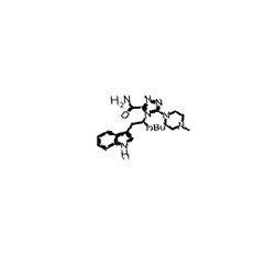 CCCCC(Cc1c[nH]c2ccccc12)n1c(C(N)=O)nnc1N1CCN(C)CC1